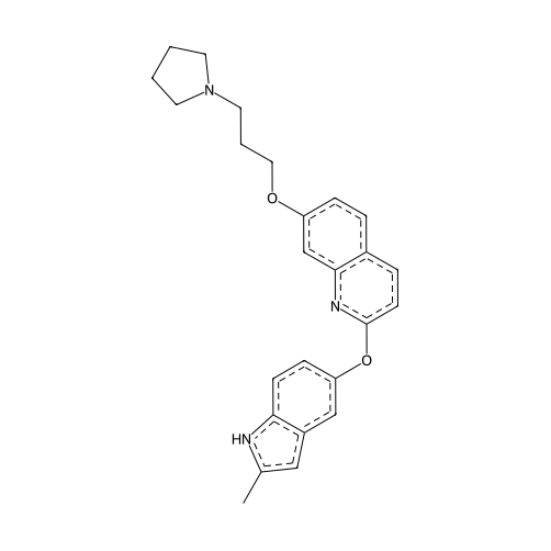 Cc1cc2cc(Oc3ccc4ccc(OCCCN5CCCC5)cc4n3)ccc2[nH]1